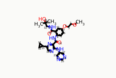 COCCOc1ccc(NC(=O)c2nc(C3CC3)cnc2Nc2cncnc2)c(C(=O)NCC(C)(C)O)c1